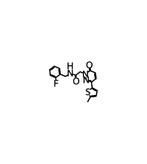 Cc1ccc(-c2ccc(=O)n(CC(=O)NCc3ccccc3F)n2)s1